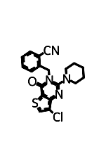 N#Cc1ccccc1Cn1c(N2CCCCC2)nc2c(Cl)csc2c1=O